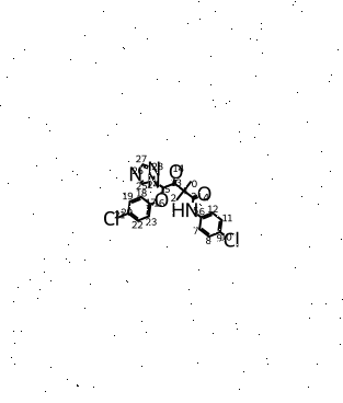 CC(C)(C(=O)Nc1ccc(Cl)cc1)C(=O)C(Oc1ccc(Cl)cc1)n1cncn1